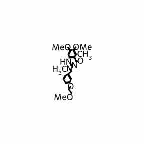 COCCOc1cccc(CN(C)c2nc(=O)c3c(C)c(OC)c(OC)cc3[nH]2)c1